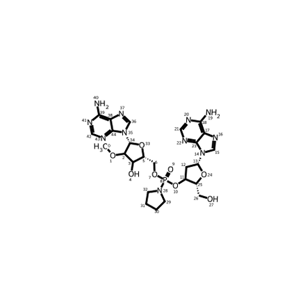 COC1C(O)[C@@H](COP(=O)(OC2C[C@H](n3cnc4c(N)ncnc43)O[C@@H]2CO)N2CCCC2)O[C@H]1n1cnc2c(N)ncnc21